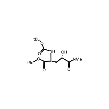 CNC(=O)[C@@H](O)C[C@H](NC(=O)OC(C)(C)C)C(=O)OC(C)(C)C